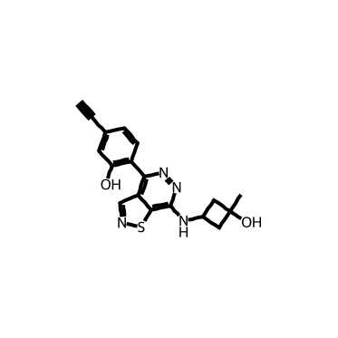 C#Cc1ccc(-c2nnc(NC3CC(C)(O)C3)c3sncc23)c(O)c1